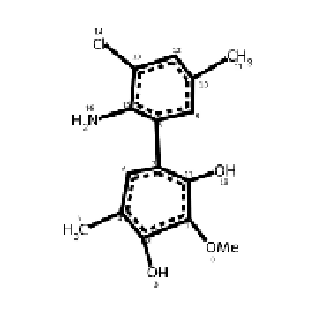 COc1c(O)c(C)cc(-c2cc(C)cc(Cl)c2N)c1O